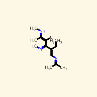 C=CC(=C\N=C(C)C)/C(=N/C)C(/C)=C(\C)NC